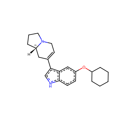 C1=C(c2c[nH]c3ccc(OC4CCCCC4)cc23)C[C@@H]2CCCN2C1